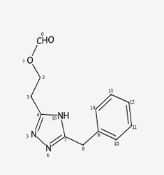 O=COCCc1nnc(Cc2ccccc2)[nH]1